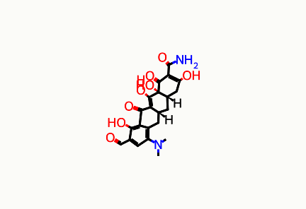 CN(C)c1cc(C=O)c(O)c2c1C[C@H]1C[C@H]3CC(O)=C(C(N)=O)C(=O)[C@@]3(O)C(O)=C1C2=O